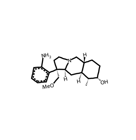 COC[C@]1(c2ccccc2N)CCN2C[C@@H]3CC[C@H](O)[C@H](C)[C@H]3C[C@H]21